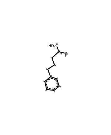 O=C(O)[C@@H](Br)CCCc1ccccc1